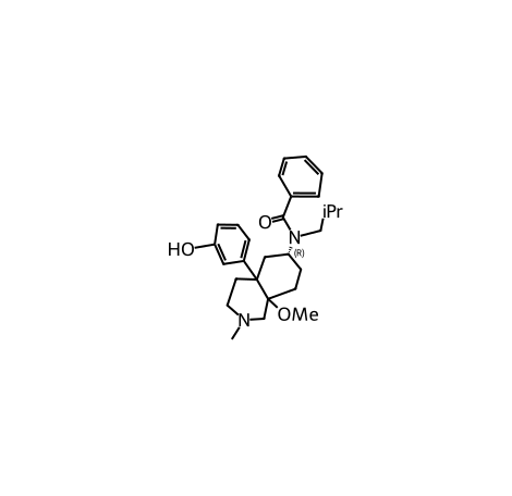 COC12CC[C@@H](N(CC(C)C)C(=O)c3ccccc3)CC1(c1cccc(O)c1)CCN(C)C2